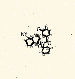 Cc1ccc(C(=O)NC2(Oc3ccnc4c(C#N)cccc34)CCCCC2)cc1F